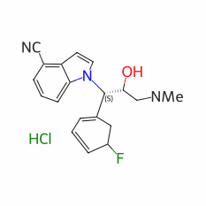 CNCC(O)[C@H](C1=CC=CC(F)C1)n1ccc2c(C#N)cccc21.Cl